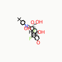 CC(C)(C)c1ccc(N(O)C[C@@H]2C[C@H]3[C@@H]4C[C@H](F)C5=CC(=O)C=C[C@]5(C)[C@@]4(F)[C@@H](O)C[C@]3(C)[C@H]2C(=O)CO)cc1